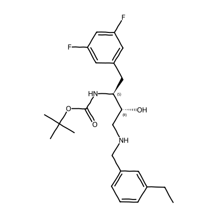 CCc1cccc(CNC[C@@H](O)[C@H](Cc2cc(F)cc(F)c2)NC(=O)OC(C)(C)C)c1